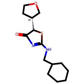 O=C1N=C(NCC2CCCCC2)SC1[C@@H]1CCOC1